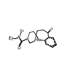 CCN(CC)C(=O)N1CCC2(CCC(=O)c3ccccc3N2)CC1